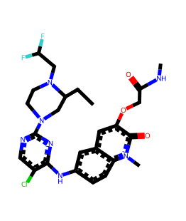 CCC1CN(c2ncc(Cl)c(Nc3ccc4c(c3)cc(OCC(=O)NC)c(=O)n4C)n2)CCN1CC(F)F